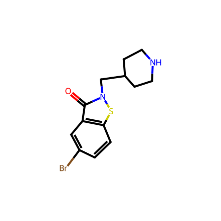 O=c1c2cc(Br)ccc2sn1CC1CCNCC1